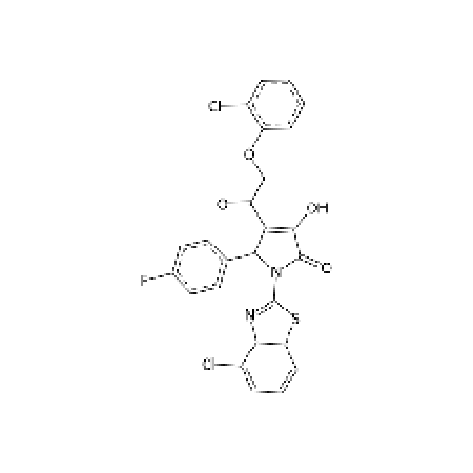 O=C(COc1ccccc1Cl)C1=C(O)C(=O)N(C2=NC3C(Cl)=CC=CC3S2)C1c1ccc(F)cc1